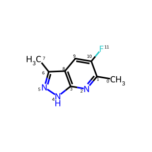 Cc1nc2[nH]nc(C)c2cc1F